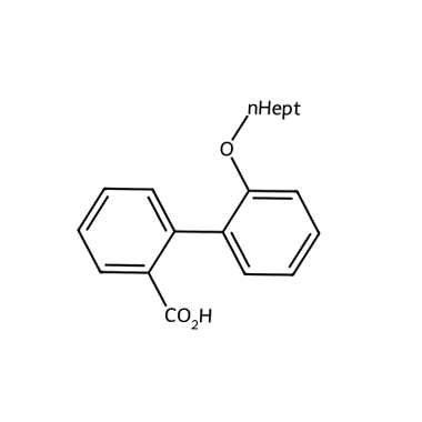 CCCCCCCOc1ccccc1-c1ccccc1C(=O)O